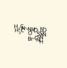 CN(C)CCNC(=O)c1cccc(Sc2cc(Br)cnc2Nc2nc3cccnc3s2)c1